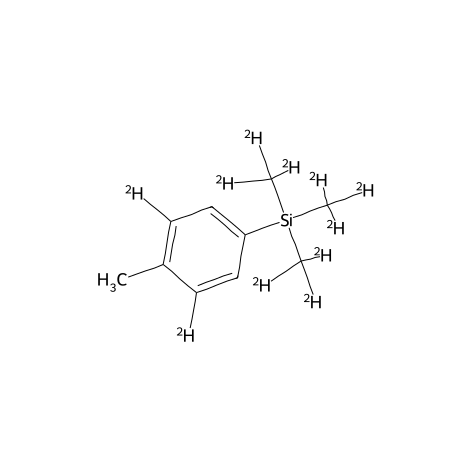 [2H]c1cc([Si](C([2H])([2H])[2H])(C([2H])([2H])[2H])C([2H])([2H])[2H])cc([2H])c1C